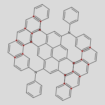 c1ccc(N(c2ccccc2)c2cc(N(c3ccccc3)c3ccccc3)c3c(N(c4ccccc4)c4ccccc4)cc4c(N(c5ccccc5)c5ccccc5)cc(N(c5ccccc5)c5ccccc5)c5c(N(c6ccccc6)c6ccccc6)cc2c3c45)cc1